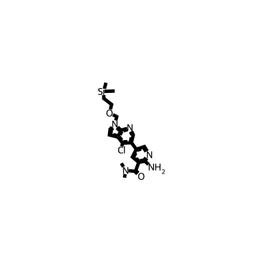 CN(C)C(=O)c1cc(-c2cnc3c(ccn3COCC[Si](C)(C)C)c2Cl)cnc1N